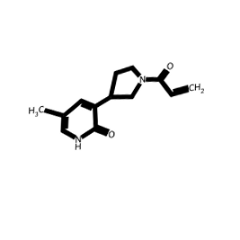 C=CC(=O)N1CCC(c2cc(C)c[nH]c2=O)C1